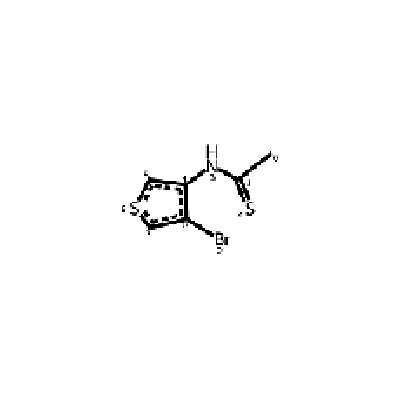 CC(=S)Nc1cscc1Br